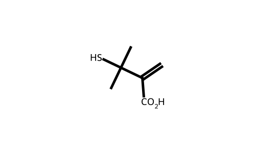 C=C(C(=O)O)C(C)(C)S